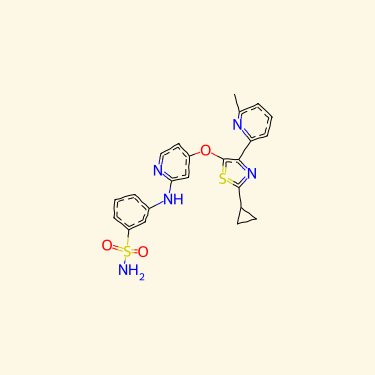 Cc1cccc(-c2nc(C3CC3)sc2Oc2ccnc(Nc3cccc(S(N)(=O)=O)c3)c2)n1